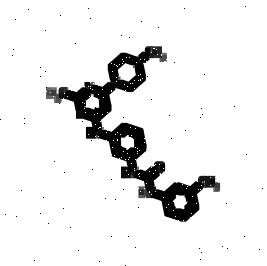 Cc1cccc(NC(=O)Nc2cccc(Nc3cc(N4CCN(C)CC4)nc(C)n3)c2)c1